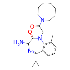 Cc1cccc2c1N(CC(=O)N1CCCCCCC1)C(=O)C(N)N=C2C1CC1